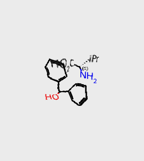 CC(C)[C@H](N)C(=O)O.OC(c1ccccc1)c1ccccc1